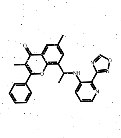 Cc1cc(C(C)Nc2cccnc2-c2ncon2)c2oc(-c3ccccc3)c(C)c(=O)c2c1